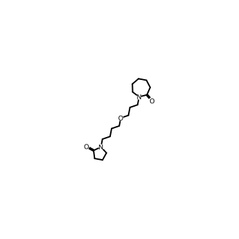 O=C1CCCCCN1CCCOCCCCN1CCCC1=O